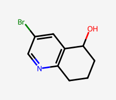 OC1CCCc2ncc(Br)cc21